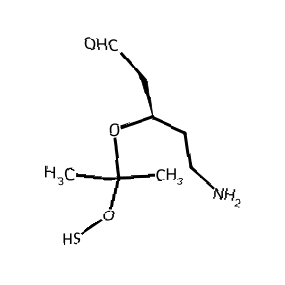 CC(C)(OS)O[C@@H](CC=O)CCN